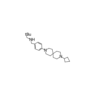 CC(C)(C)CNCc1ccc(N2CCC3(CC2)CCN(C2CCC2)CC3)cc1